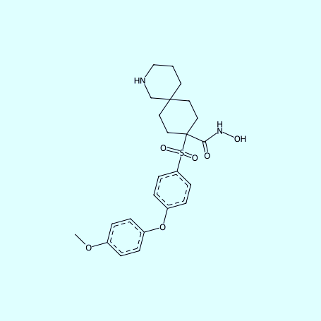 COc1ccc(Oc2ccc(S(=O)(=O)C3(C(=O)NO)CCC4(CCCNC4)CC3)cc2)cc1